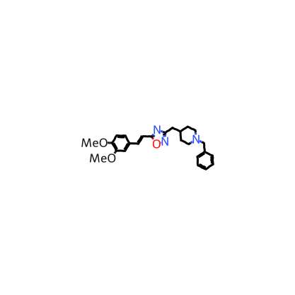 COc1ccc(/C=C/c2nc(CC3CCN(Cc4ccccc4)CC3)no2)cc1OC